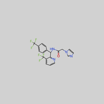 O=C(Cn1ccnc1)NC(c1ccc(C(F)(F)F)cc1)c1ncccc1C(F)(F)F